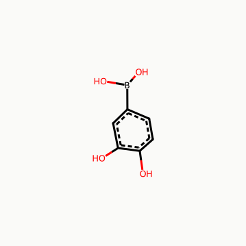 OB(O)c1ccc(O)c(O)c1